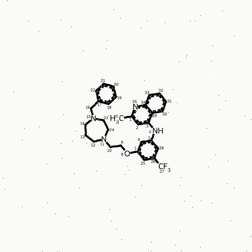 Cc1cc(Nc2cc(OCCN3CCCN(Cc4ccccc4)CC3)cc(C(F)(F)F)c2)c2ccccc2n1